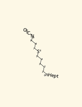 CCCCCCCCCCCCSCCCN=C=O